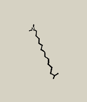 CC(C)CCCCCCCCCCCCN(C)C